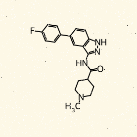 CN1CCC(C(=O)Nc2n[nH]c3ccc(-c4ccc(F)cc4)cc23)CC1